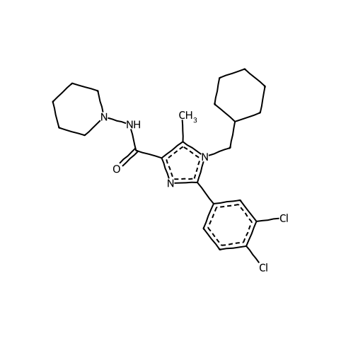 Cc1c(C(=O)NN2CCCCC2)nc(-c2ccc(Cl)c(Cl)c2)n1CC1CCCCC1